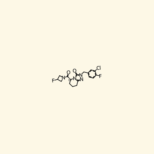 O=C([C@@H]1CCCc2nn(Cc3ccc(F)c(Cl)c3)c(=O)n21)N1CC(F)C1